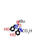 CC(C)(C)OC(=O)n1cc2cc(O)ccc2n1.O=C(O)n1ncc2cc(O)ccc21